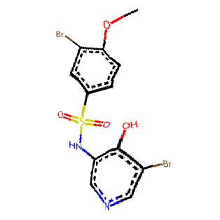 COc1ccc(S(=O)(=O)Nc2cncc(Br)c2O)cc1Br